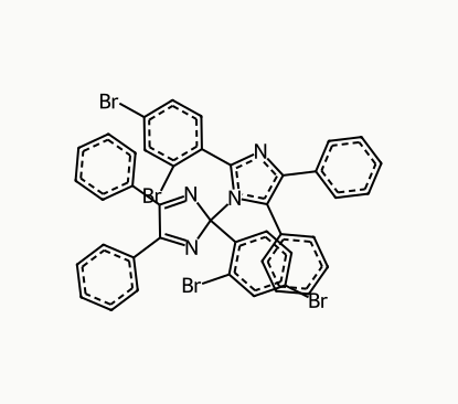 Brc1ccc(-c2nc(-c3ccccc3)c(-c3ccccc3)n2C2(c3ccc(Br)cc3Br)N=C(c3ccccc3)C(c3ccccc3)=N2)c(Br)c1